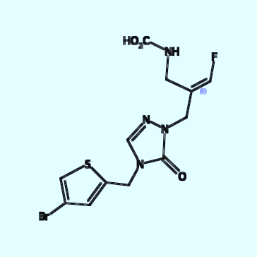 O=C(O)NC/C(=C\F)Cn1ncn(Cc2cc(Br)cs2)c1=O